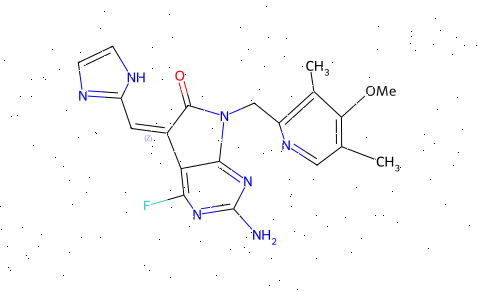 COc1c(C)cnc(CN2C(=O)/C(=C\c3ncc[nH]3)c3c(F)nc(N)nc32)c1C